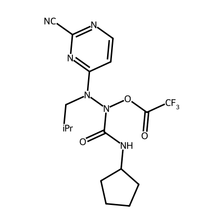 CC(C)CN(c1ccnc(C#N)n1)N(OC(=O)C(F)(F)F)C(=O)NC1CCCC1